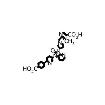 Cn1c(C(=O)O)cnc1CN1CC[C@@H](n2c(=O)n(-c3ccc(-c4ccc(C(=O)O)cc4)nc3)c3cccnc32)C1